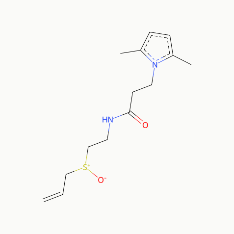 C=CC[S+]([O-])CCNC(=O)CCn1c(C)ccc1C